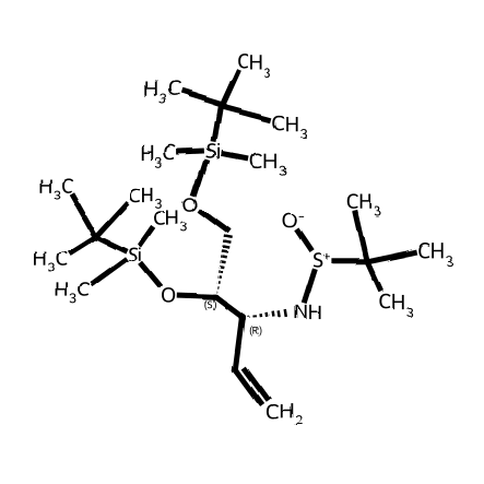 C=C[C@@H](N[S+]([O-])C(C)(C)C)[C@@H](CO[Si](C)(C)C(C)(C)C)O[Si](C)(C)C(C)(C)C